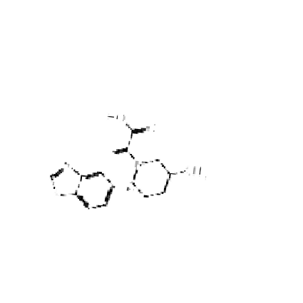 C[C@H]1CC[C@H](c2ccc3scnc3c2)N(C(=O)C(=O)O)C1